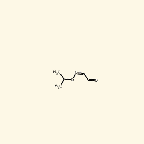 CC(C)O/N=C\[C]=O